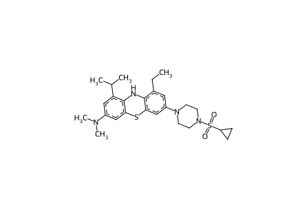 CCc1cc(N2CCN(S(=O)(=O)C3CC3)CC2)cc2c1Nc1c(cc(N(C)C)cc1C(C)C)S2